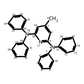 Cc1cc(N(c2ccccc2)c2ccccc2)nc(N(c2ccccc2)c2ccccc2)c1